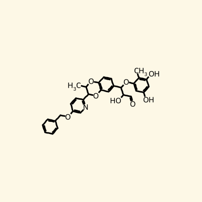 Cc1c(O)cc(O)cc1OC(c1ccc2c(c1)OC(c1ccc(OCc3ccccc3)cn1)C(C)O2)C(O)C=O